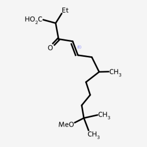 CCC(C(=O)O)C(=O)/C=C/CC(C)CCCC(C)(C)OC